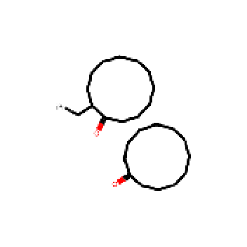 CC(C)CC1CCCCCCCCCCC1=O.O=C1CCCCCCCCCCC1